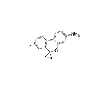 Cc1ccc2c(c1)C1(CC1)Oc1cc(N)ccc1-2